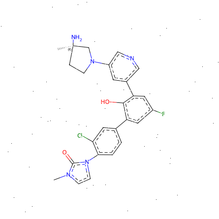 Cn1ccn(-c2ccc(-c3cc(F)cc(-c4cncc(N5CC[C@@](C)(N)C5)c4)c3O)cc2Cl)c1=O